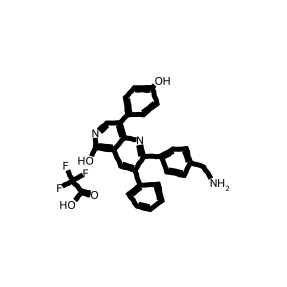 NCc1ccc(-c2nc3c(-c4ccc(O)cc4)cnc(O)c3cc2-c2ccccc2)cc1.O=C(O)C(F)(F)F